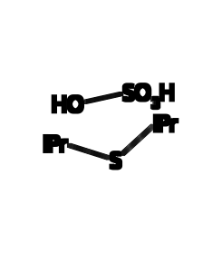 CC(C)SC(C)C.O=S(=O)(O)O